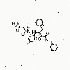 CC(C)C[C@H](NC(=O)[CH]C(N)=O)C(=O)N[C@@H](Cc1ccccc1)C(=O)C(=O)NCc1ccccc1